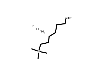 CCCCCCCCCCCCCC[N+](C)(C)C.I.N.[I-]